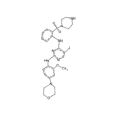 COc1cc(N2CCOCC2)ccc1Nc1ncc(I)c(Nc2ccccc2S(=O)(=O)N2CCNCC2)n1